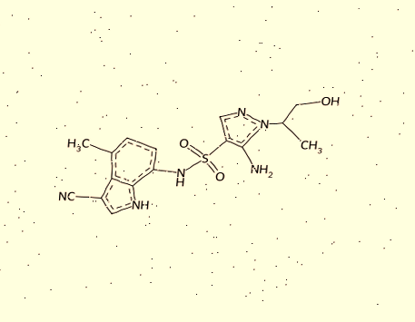 Cc1ccc(NS(=O)(=O)c2cnn(C(C)CO)c2N)c2[nH]cc(C#N)c12